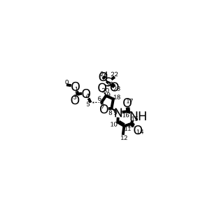 COC(=O)OC[C@H]1O[C@H](n2cc(C)c(=O)[nH]c2=O)C[C@H]1OS(C)(=O)=O